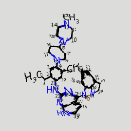 CCc1cc(N2CCC(N3CCN(C)CC3)CC2)c(C)cc1Nc1nc(N2SN3CCc4cccc2c43)c2cc[nH]c2n1